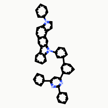 c1ccc(-c2cc(-c3cccc(-c4cccc(-n5c6ccccc6c6cc7ccc8c(ccn8-c8ccccc8)c7cc65)c4)c3)nc(-c3ccccc3)n2)cc1